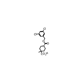 CC1(C(=O)O)CCN(C(=O)OCc2cc(Cl)cc(Cl)c2)CC1